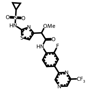 COC(C(=O)Nc1ccc(-c2cncc(C(F)(F)F)n2)cc1F)c1csc(NS(=O)(=O)C2CC2)n1